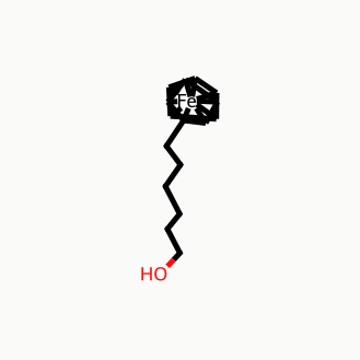 OCCCCCC[C]12[CH]3[CH]4[CH]5[CH]1[Fe]45321678[CH]2[CH]1[CH]6[CH]7[CH]28